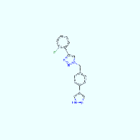 Fc1ccccc1-c1cn(Cc2ccc(-c3cn[nH]c3)cc2)nn1